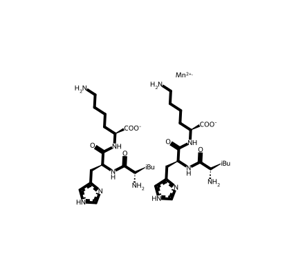 CC[C@H](C)[C@H](N)C(=O)N[C@@H](Cc1c[nH]cn1)C(=O)N[C@@H](CCCCN)C(=O)[O-].CC[C@H](C)[C@H](N)C(=O)N[C@@H](Cc1c[nH]cn1)C(=O)N[C@@H](CCCCN)C(=O)[O-].[Mn+2]